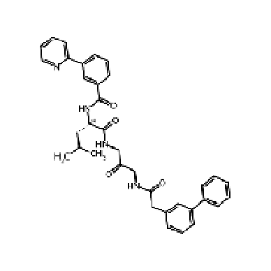 CC(C)C[C@H](NC(=O)c1cccc(-c2ccccn2)c1)C(=O)NCC(=O)CNC(=O)Cc1cccc(-c2ccccc2)c1